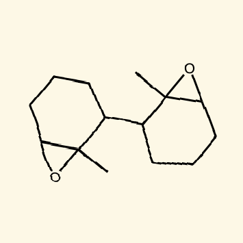 CC12OC1CCCC2C1CCCC2OC21C